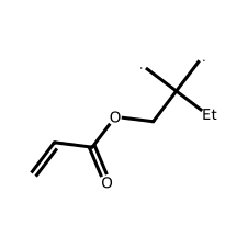 [CH2]C([CH2])(CC)COC(=O)C=C